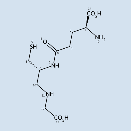 N[C@@H](CCC(=O)N[C@@H](CS)CNCC(=O)O)C(=O)O